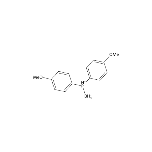 [BH3-][PH+](c1ccc(OC)cc1)c1ccc(OC)cc1